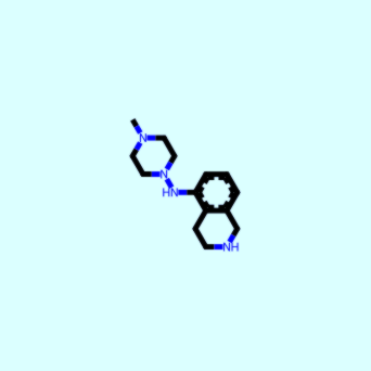 CN1CCN(Nc2cccc3c2CCNC3)CC1